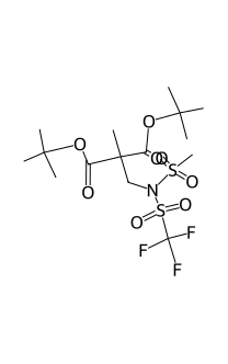 CC(C)(C)OC(=O)C(C)(CN(S(C)(=O)=O)S(=O)(=O)C(F)(F)F)C(=O)OC(C)(C)C